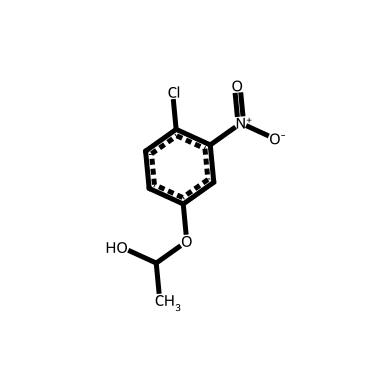 CC(O)Oc1ccc(Cl)c([N+](=O)[O-])c1